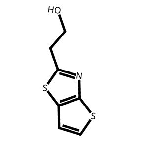 OCCc1nc2sccc2s1